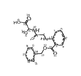 O=C(CNc1ccccc1C(=O)OCc1ccccc1)NC(O)C(=O)O